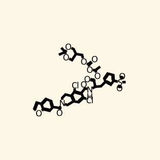 CC(OC(=O)OCC1COC(C)(C)OC1)OC(=O)C(Cc1cccc(S(C)(=O)=O)c1)NC(=O)c1c(Cl)cc2c(c1Cl)CCN(C(=O)c1ccc3ccoc3c1)C2